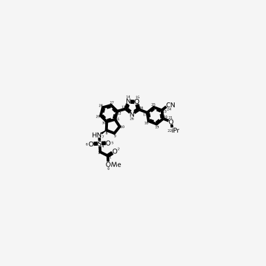 COC(=O)CS(=O)(=O)N[C@@H]1CCc2c(-c3noc(-c4ccc(OC(C)C)c(C#N)c4)n3)cccc21